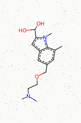 Cc1cc(COCCN(C)C)cc2cc(C(O)O)n(C)c12